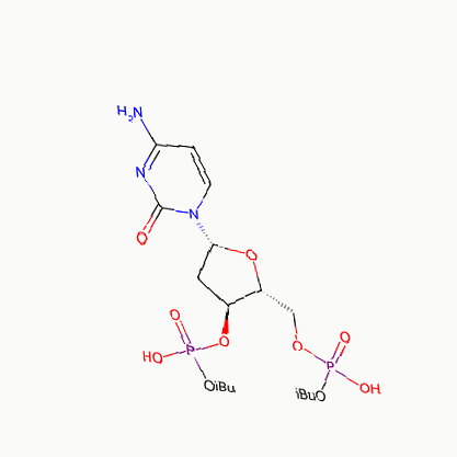 CC(C)COP(=O)(O)OC[C@H]1O[C@@H](n2ccc(N)nc2=O)C[C@@H]1OP(=O)(O)OCC(C)C